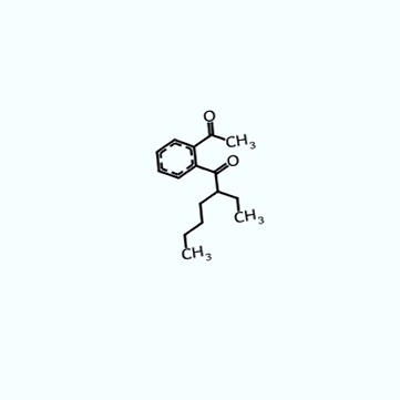 CCCCC(CC)C(=O)c1ccccc1C(C)=O